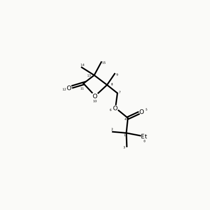 CCC(C)(C)C(=O)OCC1(C)OC(=O)C1(C)C